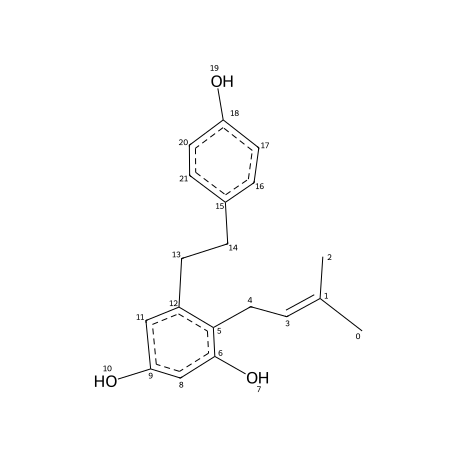 CC(C)=CCc1c(O)cc(O)cc1CCc1ccc(O)cc1